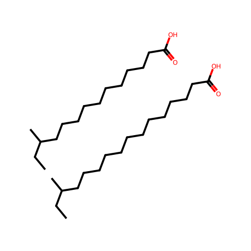 CCC(C)CCCCCCCCCCC(=O)O.CCC(C)CCCCCCCCCCCCC(=O)O